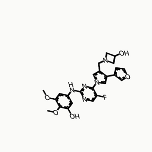 COc1cc(Nc2ncc(F)c(-n3cc(CN4CC(O)C4)c(-c4ccoc4)c3)n2)cc(O)c1OC